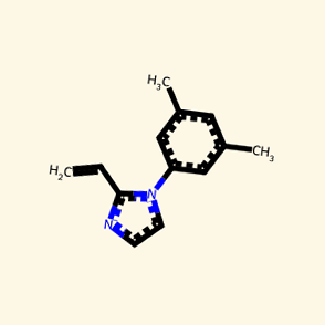 C=Cc1nccn1-c1cc(C)cc(C)c1